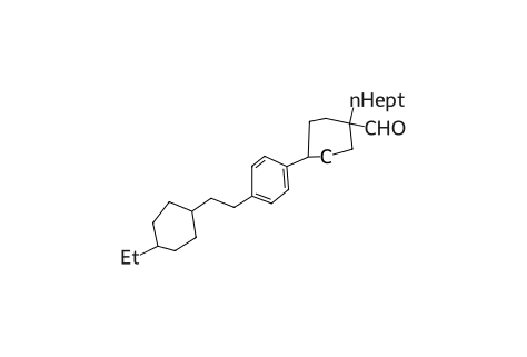 CCCCCCCC1(C=O)CCC(c2ccc(CCC3CCC(CC)CC3)cc2)CC1